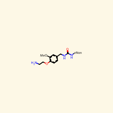 CCCCCCCCCNC(=O)NCc1ccc(OCCN)c(OC)c1